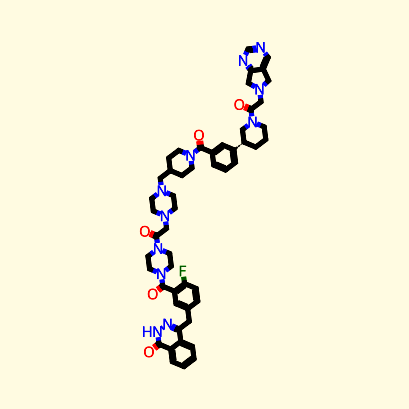 O=C(CN1CCN(CC2CCN(C(=O)c3cccc([C@H]4CCCN(C(=O)CN5Cc6cncnc6C5)C4)c3)CC2)CC1)N1CCN(C(=O)c2cc(Cc3n[nH]c(=O)c4ccccc34)ccc2F)CC1